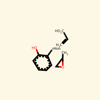 C=CC(=O)O.CC1CO1.CCCCCCCCCc1ccccc1O